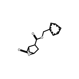 O=C(OCc1ccccc1)C1CC2CC1C(=O)O2